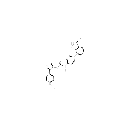 CC(C)(C)n1cc(NC(=O)Nc2ccc(-c3cccc4c3CNC4=O)cc2)c(-c2ccc(C#N)cc2)n1